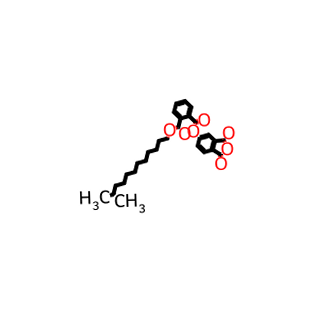 CC(C)CCCCCCCCCCOC(=O)c1ccccc1C(=O)Oc1ccc2c(c1)C(=O)OC2=O